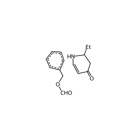 CCC1CC(=O)C=CN1.O=COCc1ccccc1